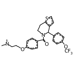 CN(C)CCOc1ccc(C(=O)N2CCc3sccc3C2c2ccc(OC(F)(F)F)cc2)cc1